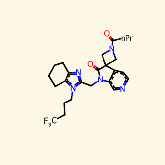 CCCC(=O)N1CC2(C1)C(=O)N(Cc1nc3c(n1CCCC(F)(F)F)CCCC3)c1cnccc12